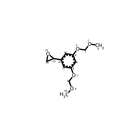 COCOc1cc(OCOC)cc(C2CO2)c1